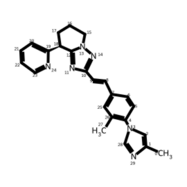 Cc1cn(-c2ccc(/C=C/c3nc4n(n3)CCC[C@@H]4c3ccccn3)cc2C)cn1